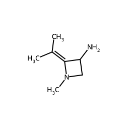 CC(C)=C1C(N)CN1C